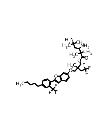 CCCCCc1ccc(-c2cc3ccc(OCC(C)(COC(=O)C(C)(C)C(N)CC(C)(C)N)CC(F)(F)F)cc3o2)c(C(F)(F)F)c1